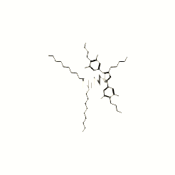 CCCCCC1=C(c2cc(C)c(CCCC)c(C)c2)[N+](=[N-])C(c2cc(C)c(CCCC)c(C)c2)=C1.CCCCCCCCC[CH2][Ni][CH2]CCCCCCCCC